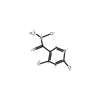 CN(Cl)C(=O)c1cnc(Cl)cc1Cl